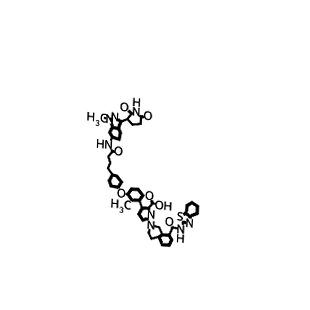 Cc1c(Oc2ccc(CCCC(=O)Nc3ccc4c(C5CCC(=O)NC5=O)nn(C)c4c3)cc2)cccc1-c1ccc(N2CCc3cccc(C(=O)Nc4nc5ccccc5s4)c3C2)nc1C(=O)O